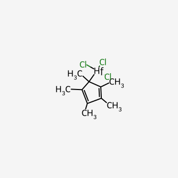 CC1=C(C)[C](C)([Hf]([Cl])([Cl])[Cl])C(C)=C1C